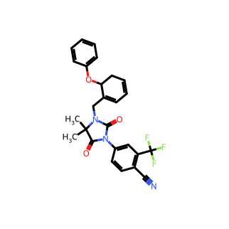 CC1(C)C(=O)N(c2ccc(C#N)c(C(F)(F)F)c2)C(=O)N1CC1=CC=CCC1Oc1ccccc1